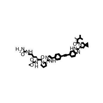 COC(=O)N[C@@H](CCCCNC(N)=O)C(=O)N1CCC[C@H]1c1ncc(-c2ccc(C#Cc3ccc4nc([C@@H]5CC6(CC6)CN5C(=O)[C@@H](C)C(C)C)[nH]c4c3)cc2)[nH]1